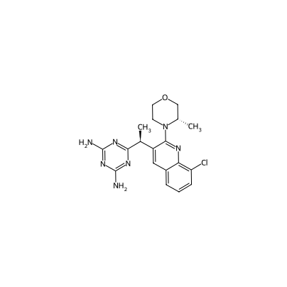 C[C@H](c1nc(N)nc(N)n1)c1cc2cccc(Cl)c2nc1N1CCOC[C@@H]1C